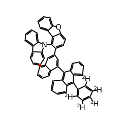 [2H]c1c([2H])c([2H])c(-c2c3ccccc3c(-c3cc(-c4ccc5oc6ccccc6c5c4-n4c5ccccc5c5ccccc54)cc4ccccc34)c3ccccc23)c([2H])c1[2H]